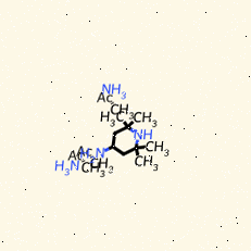 CC(C)=O.CC(C)=O.CC(C)=O.CC1(C)CC(N)CC(C)(C)N1.N.N